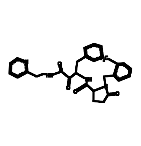 O=C(NCCc1ccccn1)C(=O)C(Cc1ccccc1)NC(=O)C1CCC(=O)N1Cc1ccccc1C(F)(F)F